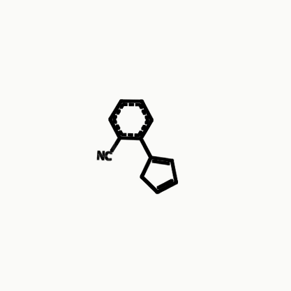 N#Cc1ccccc1C1=CC=CC1